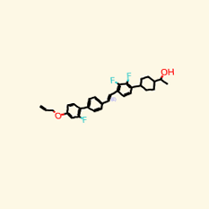 C=CCOc1ccc(-c2ccc(/C=C/c3ccc(C4CCC(C(C)O)CC4)c(F)c3F)cc2)c(F)c1